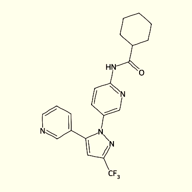 O=C(Nc1ccc(-n2nc(C(F)(F)F)cc2-c2cccnc2)cn1)C1CCCCC1